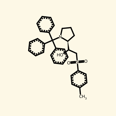 Cc1ccc(S(=O)(=O)CC(O)[C@@H]2CCCN2C(c2ccccc2)(c2ccccc2)c2ccccc2)cc1